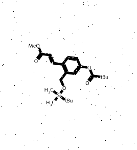 COC(=O)/C=C/c1ccc(OC(=O)C(C)(C)C)cc1CO[Si](C)(C)C(C)(C)C